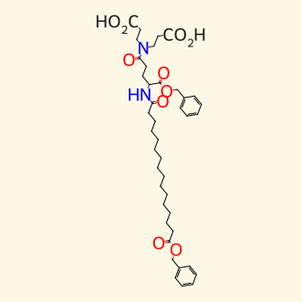 O=C(O)CCN(CCC(=O)O)C(=O)CCC(NC(=O)CCCCCCCCCCCCCCC(=O)OCc1ccccc1)C(=O)OCc1ccccc1